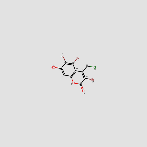 O=c1oc2cc(O)c(Br)c(Br)c2c(CCl)c1Br